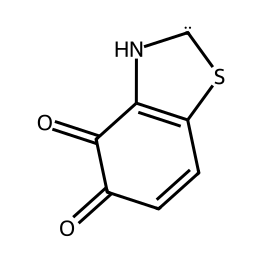 O=C1C=CC2=C(N[C]S2)C1=O